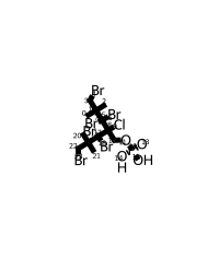 CC(C)(CBr)C(Br)(Br)C(Cl)(COP(=O)(O)O)C(Br)(Br)C(C)(C)CBr